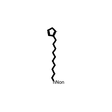 CCCCCCCCCCCCCCCCCCCC1=[C]CC=C1